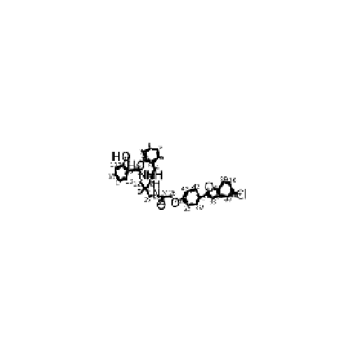 CC(CNCc1ccccc1O)(CNCc1ccccc1O)CNC(=O)COc1ccc(-c2cc3cc(Cl)ccc3o2)cc1